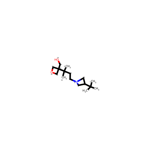 CC(C)(C)C1CN(CCC(C)(C)C2(CO)COC2)C1